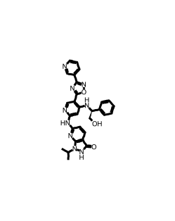 CC(C)n1[nH]c(=O)c2ccc(Nc3cc(N[C@H](CO)c4ccccc4)c(-c4nc(-c5cccnc5)no4)cn3)nc21